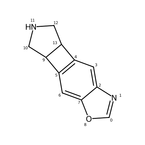 c1nc2cc3c(cc2o1)C1CNCC31